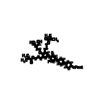 C=C(C)C(=O)OCCCc1cc(-c2c(F)cc(-c3ccc(C4CCC(CCCCC)CC4)cc3)cc2F)cc(CCCOC(=O)C(=C)C)c1OCCC(CO)CO